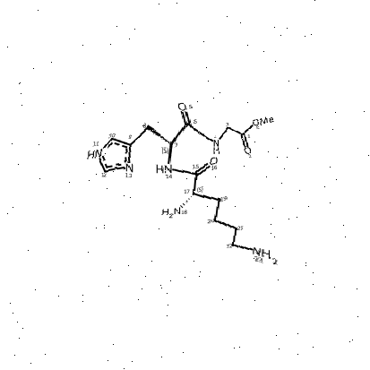 COC(=O)CNC(=O)[C@H](Cc1c[nH]cn1)NC(=O)[C@@H](N)CCCCN